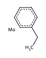 CCc1ccccc1.[Mo]